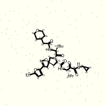 CCC[C@H](NC(=O)[C@@H]1C[C@]2(CC(c3ccc(CC)o3)=NO2)CN1C(=O)[C@@H](NC(=O)CC1CCOCC1)C(C)(C)C)C(=O)C(=O)NC1CC1